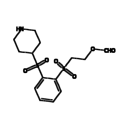 O=COCCS(=O)(=O)c1ccccc1S(=O)(=O)C1CCNCC1